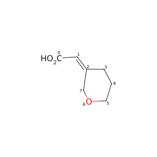 O=C(O)/C=C1/CCCOC1